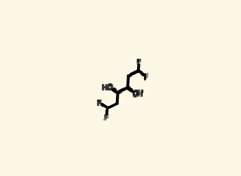 OC(CC(F)F)C(O)CC(F)F